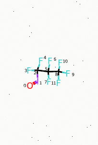 O=IC(F)(F)C(F)(F)C(F)(F)F